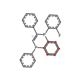 Fc1ccccc1P(/C(=C\P(c1ccccc1)c1ccccc1)c1ccccc1)c1ccccc1